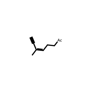 C#CC(C)=CCCC(C)=O